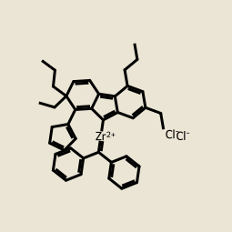 CCCc1cc(CC)cc2c1=C1C=CC(CC)(CCC)C(C3=CC=CC3)=C1[C]=2[Zr+2]=[C](c1ccccc1)c1ccccc1.[Cl-].[Cl-]